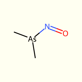 C[As](C)N=O